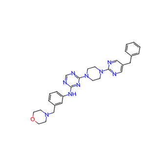 c1ccc(Cc2cnc(N3CCN(c4ncnc(Nc5cccc(CN6CCOCC6)c5)n4)CC3)nc2)cc1